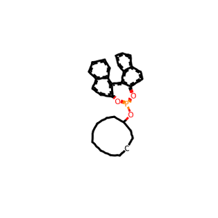 c1ccc2c(c1)ccc1op(OC3CCCCCCCCCCC3)oc3ccc4ccccc4c3c12